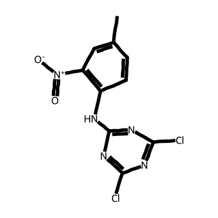 Cc1ccc(Nc2nc(Cl)nc(Cl)n2)c([N+](=O)[O-])c1